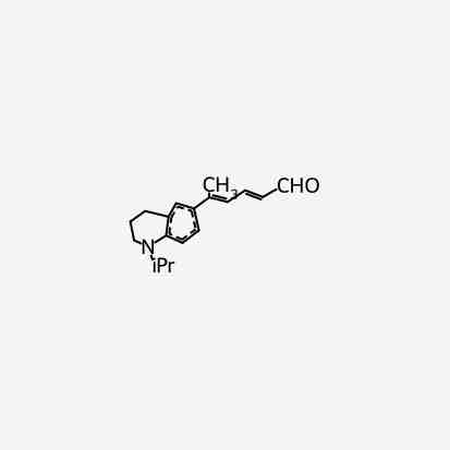 C/C(=C\C=C\C=O)c1ccc2c(c1)CCCN2C(C)C